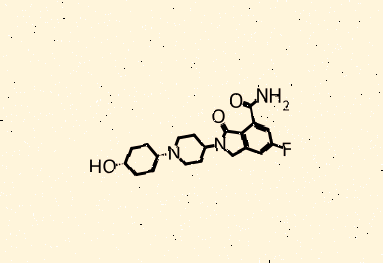 NC(=O)c1cc(F)cc2c1C(=O)N(C1CCN([C@H]3CC[C@@H](O)CC3)CC1)C2